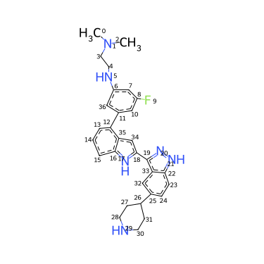 CN(C)CCNc1cc(F)cc(-c2cccc3[nH]c(-c4n[nH]c5ccc(C6CCNCC6)cc45)cc23)c1